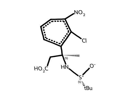 CC(C)(C)[S@@+]([O-])N[C@@](C)(CC(=O)O)c1cccc([N+](=O)[O-])c1Cl